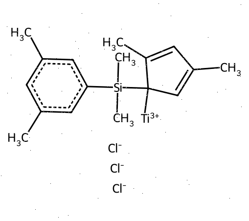 CC1=C[C]([Ti+3])([Si](C)(C)c2cc(C)cc(C)c2)C(C)=C1.[Cl-].[Cl-].[Cl-]